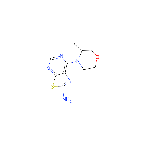 C[C@@H]1COCCN1c1ncnc2sc(N)nc12